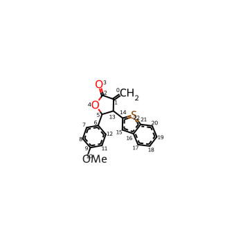 C=C1C(=O)OC(c2ccc(OC)cc2)C1c1cc2ccccc2s1